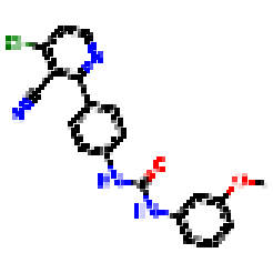 COc1cccc(NC(=O)Nc2ccc(-c3nccc(Cl)c3C#N)cc2)c1